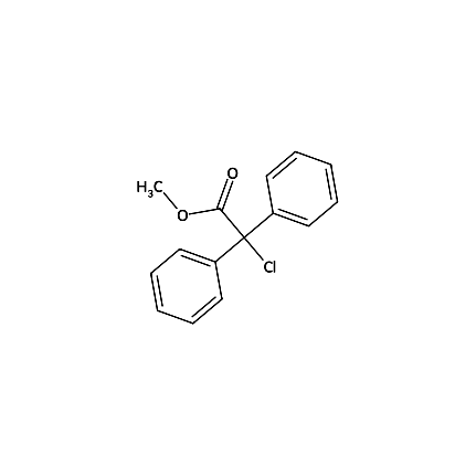 COC(=O)C(Cl)(c1ccccc1)c1ccccc1